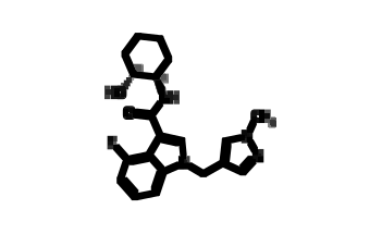 Cn1cc(Cn2cc(C(=O)N[C@@H]3CCCC[C@H]3O)c3c(F)cccc32)cn1